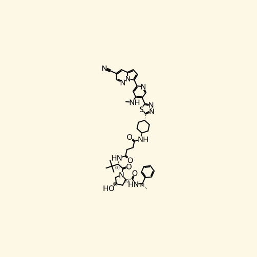 CNc1cc(-c2ccc3cc(C#N)cnn23)ncc1-c1nnc([C@H]2CC[C@H](NC(=O)CCC(=O)N[C@H](C(=O)N3C[C@H](O)C[C@H]3C(=O)N[C@@H](C)c3ccccc3)C(C)(C)C)CC2)s1